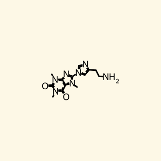 Cn1c(=O)c2c(nc(-n3cnc(CCN)c3)n2C)n(C)c1=O